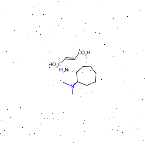 CN(C)[C@@H]1CCCCC[C@H]1N.O=C(O)C=CC(=O)O